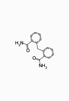 NC(=O)c1ccccc1Cc1ccccc1C(N)=O